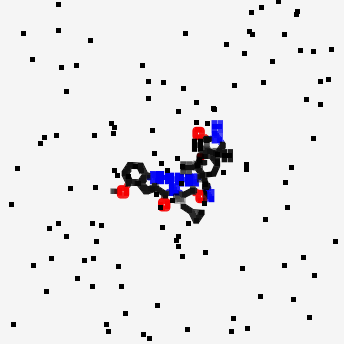 COc1cccc2[nH]c(C(=O)N[C@@H](CC3CC3)C(=O)N[C@@]3(C#N)CC4CC[C@@H]3C[C@H]3C(=O)NC[C@H]43)cc12